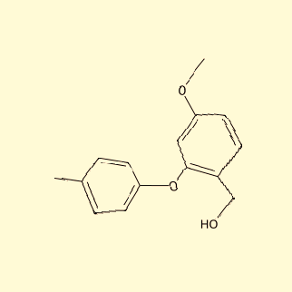 COc1ccc(CO)c(Oc2ccc(C)cc2)c1